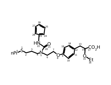 CCCSCCCN(CCOc1ccc(CC(OCC)C(=O)O)cc1)C(=O)Nc1ccccc1